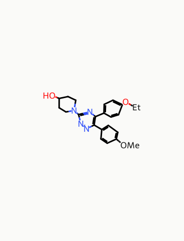 CCOc1ccc(-c2nc(N3CCC(O)CC3)nnc2-c2ccc(OC)cc2)cc1